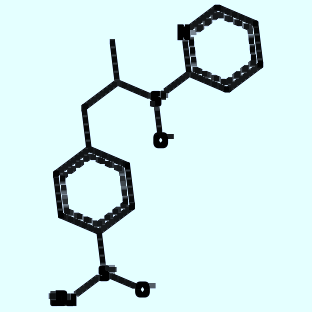 CC(Cc1ccc([S+]([O-])C(C)(C)C)cc1)[S+]([O-])c1ccccn1